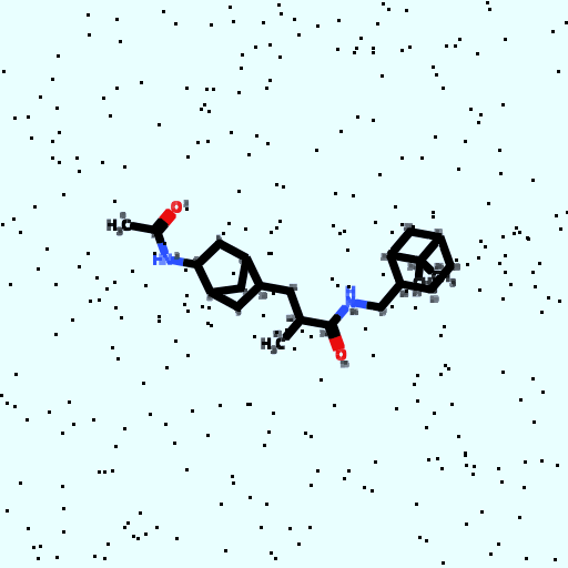 CC(=O)NC1CC2CC1CC2CC(C)C(=O)NCC1CCC2CC1C2(C)C